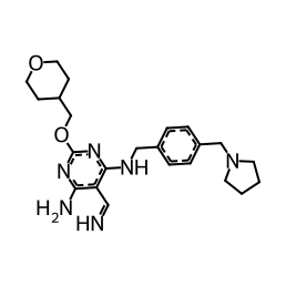 N=Cc1c(N)nc(OCC2CCOCC2)nc1NCc1ccc(CN2CCCC2)cc1